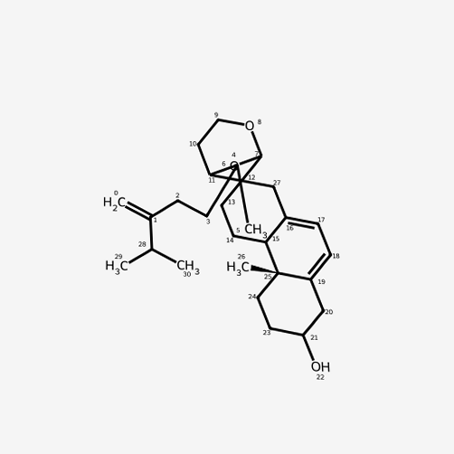 C=C(CCC1(C)OC2OCCC1C21CCC2C(=CC=C3CC(O)CC[C@@]32C)C1)C(C)C